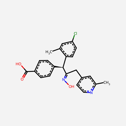 Cc1cc(C/C(=N\O)[C@@H](c2ccc(C(=O)O)cc2)c2ccc(Cl)cc2C)ccn1